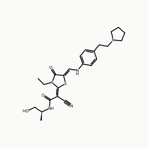 CCn1c(=C(C#N)C(=O)N[C@@H](C)CO)sc(=CNc2ccc(CCN3CCCC3)cc2)c1=O